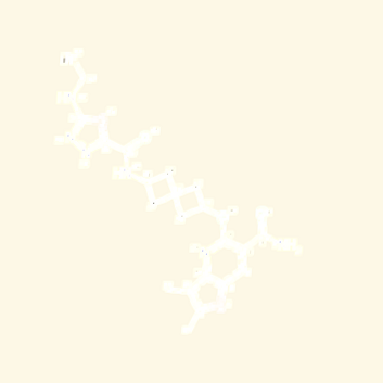 Cc1sc2cc(C(N)=O)c(OC3CC4(CC(NC(=O)c5nnc(NCC(C)C)s5)C4)C3)nc2c1C